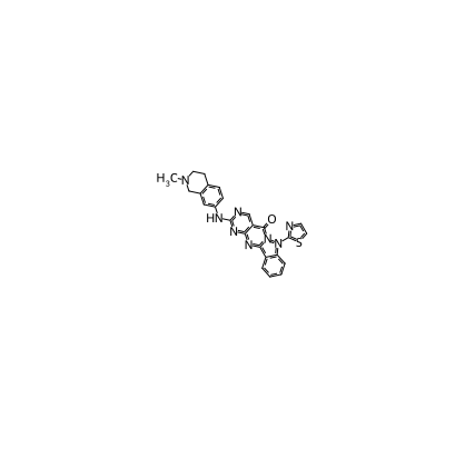 CN1CCc2ccc(Nc3ncc4c(=O)n5c(nc4n3)c3ccccc3n5-c3nccs3)cc2C1